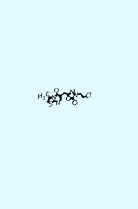 Cc1csc2ncc(Cc3nn(CCCl)c(=O)o3)c(=O)n12